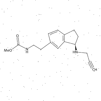 C#CCN[C@@H]1CCc2ccc(CCNC(=O)OC)cc21